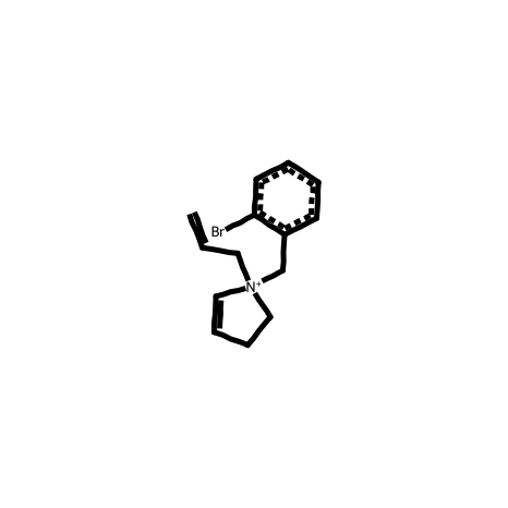 C=CC[N+]1(Cc2ccccc2Br)C=CCC1